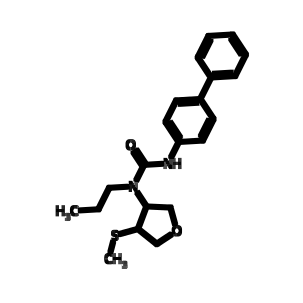 CCCN(C(=O)Nc1ccc(-c2ccccc2)cc1)C1COCC1SC